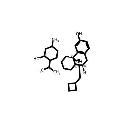 CC1CCC(C(C)C)C(O)C1.Oc1ccc2c(c1)[C@@]13CCCC[C@@]1(O)[C@@H](C2)N(CC1CCC1)CC3